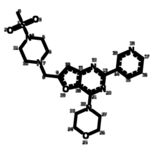 CS(=O)(=O)N1CCN(Cc2cc3nc(-c4cccnc4)nc(N4CCOCC4)c3o2)CC1